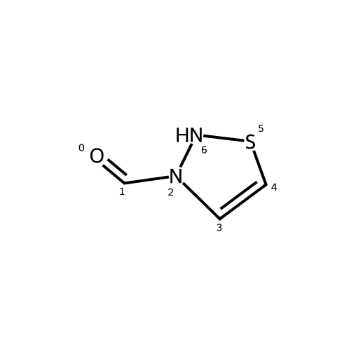 O=CN1C=CSN1